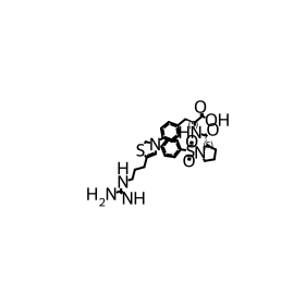 N=C(N)NCCCC1=CN(c2ccc(C[C@H](NC(=O)[C@@H]3CCCN3S(=O)(=O)c3ccccc3)C(=O)O)cc2)CS1